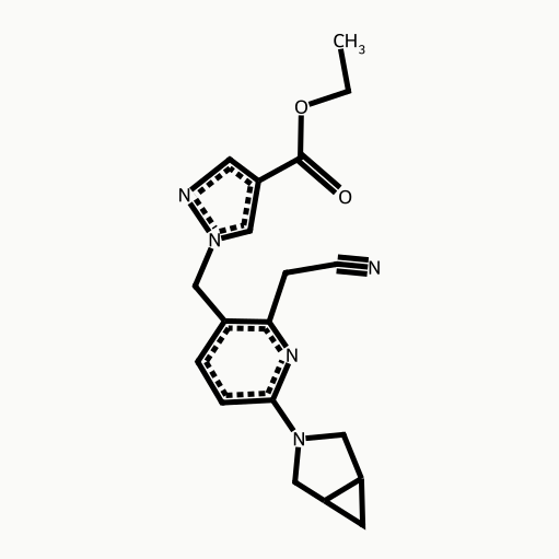 CCOC(=O)c1cnn(Cc2ccc(N3CC4CC4C3)nc2CC#N)c1